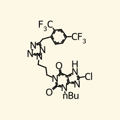 CCCCn1c(=O)n(CCCn2nnc(Cc3ccc(C(F)(F)F)cc3C(F)(F)F)n2)c(=O)c2[nH]c(Cl)nc21